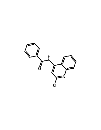 O=C(Nc1cc(Cl)nc2ccccc12)c1ccccc1